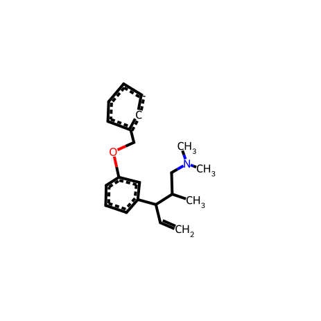 C=CC(c1cccc(OCc2ccccc2)c1)C(C)CN(C)C